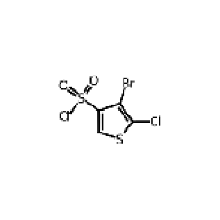 O=S(=O)(Cl)c1csc(Cl)c1Br